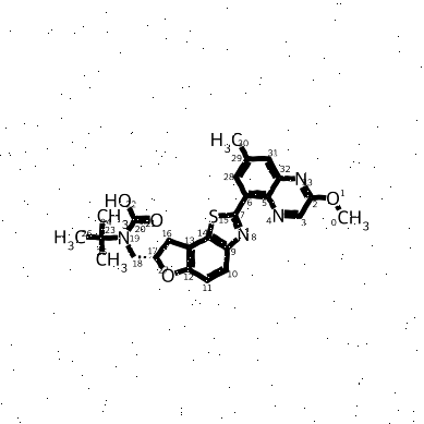 COc1cnc2c(-c3nc4ccc5c(c4s3)C[C@@H](CN(C(=O)O)C(C)(C)C)O5)cc(C)cc2n1